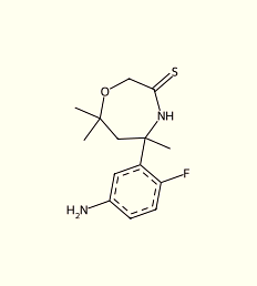 CC1(C)CC(C)(c2cc(N)ccc2F)NC(=S)CO1